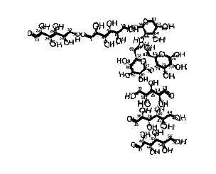 O=C[C@@H](O)[C@@H](O)[C@H](O)[C@H](O)CO.O=C[C@@H](O)[C@H](O)[C@H](O)CO.O=C[C@H](O)[C@@H](O)[C@@H](O)[C@H](O)CO.O=C[C@H](O)[C@@H](O)[C@H](O)[C@H](O)CO.O=C[C@H](O)[C@@H](O)[C@H](O)[C@H](O)CO.OC1OC[C@@H](O)[C@H](O)[C@H]1O.OC[C@H]1O[C@@H](O[C@H]2[C@H](O)[C@@H](O)[C@H](O)O[C@@H]2CO)[C@H](O)[C@@H](O)[C@@H]1O